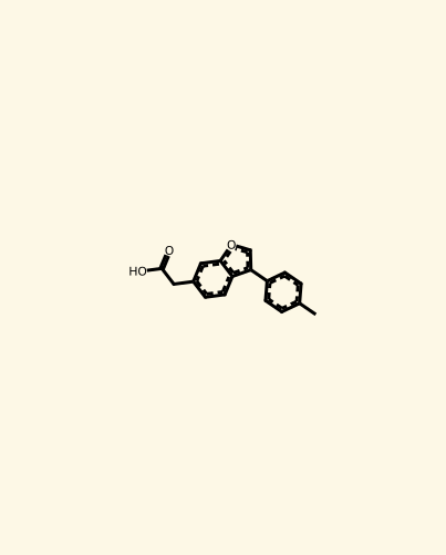 Cc1ccc(-c2coc3cc(CC(=O)O)ccc23)cc1